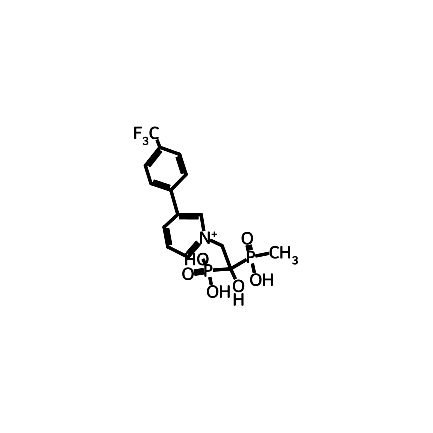 CP(=O)(O)C(O)(C[n+]1cccc(-c2ccc(C(F)(F)F)cc2)c1)P(=O)(O)O